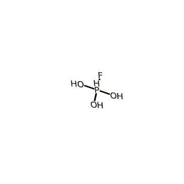 O[PH](O)(O)F